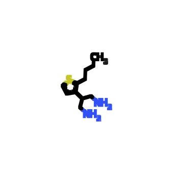 CCCCc1sccc1C(CN)CN